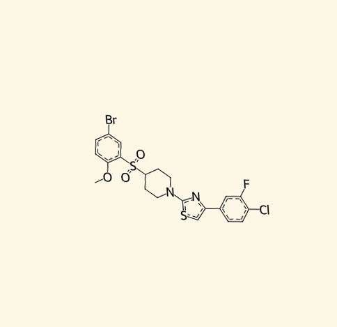 COc1ccc(Br)cc1S(=O)(=O)C1CCN(c2nc(-c3ccc(Cl)c(F)c3)cs2)CC1